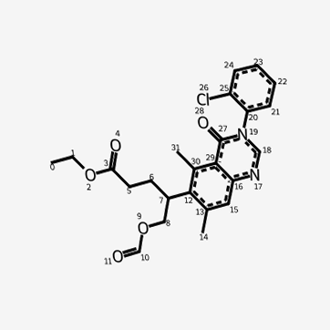 CCOC(=O)CCC(COC=O)c1c(C)cc2ncn(-c3ccccc3Cl)c(=O)c2c1C